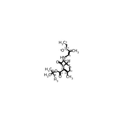 CC[S+]([O-])C(C)=CN[C@@H]1C(=O)N2C(C(=O)OC(C)(C)C)=C(C)CS[C@@H]12